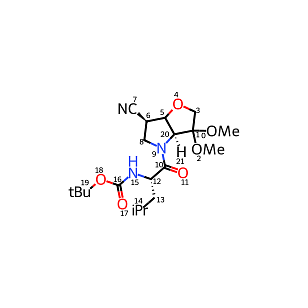 COC1(OC)COC2[C@H](C#N)CN(C(=O)[C@H](CC(C)C)NC(=O)OC(C)(C)C)[C@@H]21